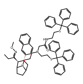 CCC(=NOC)[C@@H]1C2CCC(C[C@H]1c1ccc3ccccc3c1)N2CCCN(CCSC(c1ccccc1)(c1ccccc1)c1ccccc1)CC(=O)NCCSC(c1ccccc1)(c1ccccc1)c1ccccc1